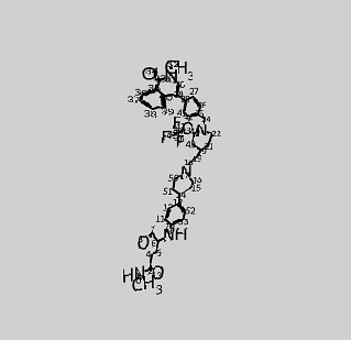 CNC(=O)CCC(C=O)Nc1ccc(C2CCN(CCC3CCN(Cc4ccc(-c5cn(C)c(=O)c6ccccc56)cc4OC(F)(F)F)CC3)CC2)cc1